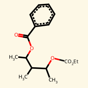 CCOC(=O)OC(C)C(C)C(C)OC(=O)c1ccccc1